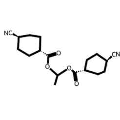 CC(OC(=O)[C@H]1CC[C@H](C#N)CC1)OC(=O)[C@H]1CC[C@H](C#N)CC1